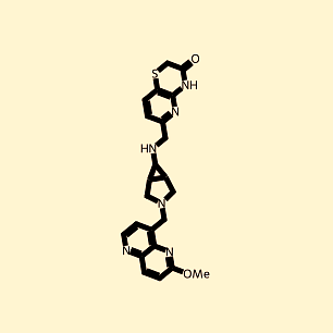 COc1ccc2nccc(CN3CC4C(C3)C4NCc3ccc4c(n3)NC(=O)CS4)c2n1